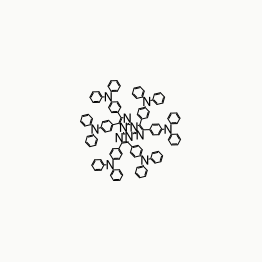 c1ccc(N(c2ccccc2)c2ccc(-c3nc4n(c3-c3ccc(N(c5ccccc5)c5ccccc5)cc3)c3nc(-c5ccc(N(c6ccccc6)c6ccccc6)cc5)c(-c5ccc(N(c6ccccc6)c6ccccc6)cc5)n3c3nc(-c5ccc(N(c6ccccc6)c6ccccc6)cc5)c(-c5ccc(N(c6ccccc6)c6ccccc6)cc5)n43)cc2)cc1